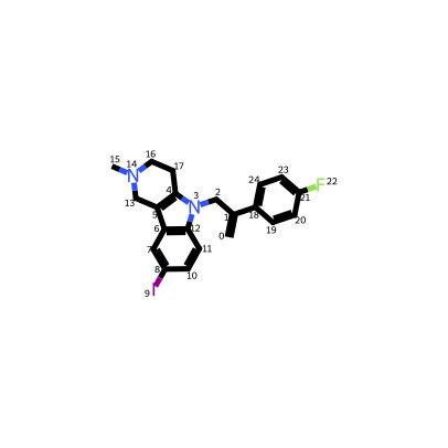 C=C(Cn1c2c(c3cc(I)ccc31)CN(C)CC2)c1ccc(F)cc1